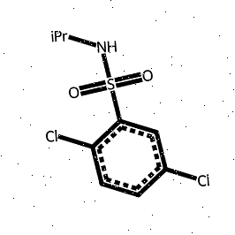 CC(C)NS(=O)(=O)c1cc(Cl)ccc1Cl